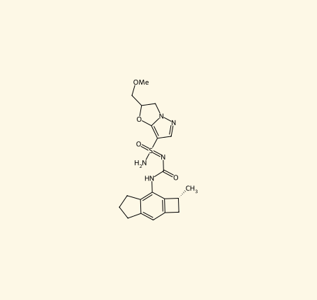 COCC1Cn2ncc(S(N)(=O)=NC(=O)Nc3c4c(cc5c3[C@H](C)C5)CCC4)c2O1